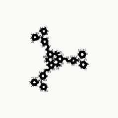 CC1(C)c2cc(/C=C/c3ccc(N(c4ccccc4)c4ccccc4)cc3)cc3c2N2c4c1cc(/C=C/c1ccc(N(c5ccccc5)c5ccccc5)cc1)cc4C(C)(C)c1cc(/C=C/c4ccc(N(c5ccccc5)c5ccccc5)cc4)cc(c12)C3(C)C